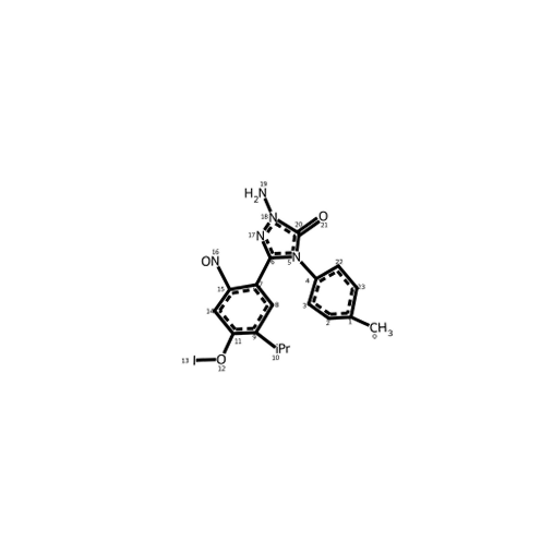 Cc1ccc(-n2c(-c3cc(C(C)C)c(OI)cc3N=O)nn(N)c2=O)cc1